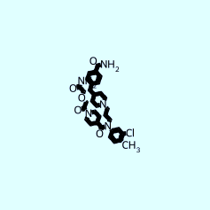 Cc1ccc(N(CCCN2CCC(Cc3ccc(C(N)=O)cc3)CC2)C(=O)C2CCN(C(=O)COCC(N)=O)CC2)cc1Cl